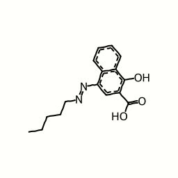 CCCCCN=Nc1cc(C(=O)O)c(O)c2ccccc12